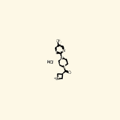 Cl.O=C(C1CNC1)N1CCN(c2ncc(C(F)(F)F)cn2)CC1